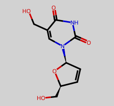 O=c1[nH]c(=O)n([C@H]2C=C[C@@H](CO)O2)cc1CO